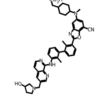 Cc1c(Nc2nccc3cc(CN4CCC(O)C4)cnc23)cccc1-c1cccc(-c2nc3cc(N(C)C4CCC(CC(=O)O)CC4)cc(C#N)c3o2)c1C